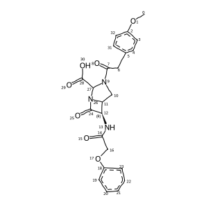 COc1ccc(CC(=O)N2CC3[C@@H](NC(=O)COc4ccccc4)C(=O)N3C2C(=O)O)cc1